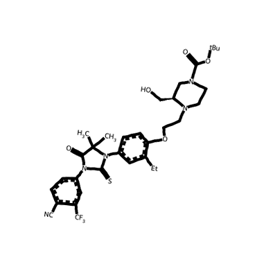 CCc1cc(N2C(=S)N(c3ccc(C#N)c(C(F)(F)F)c3)C(=O)C2(C)C)ccc1OCCN1CCN(C(=O)OC(C)(C)C)C[C@@H]1CO